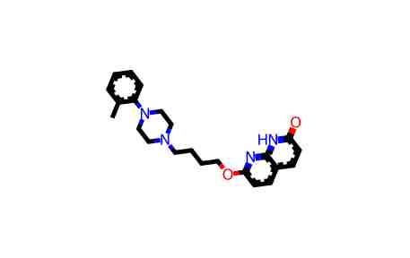 Cc1ccccc1N1CCN(CCCCOc2ccc3ccc(=O)[nH]c3n2)CC1